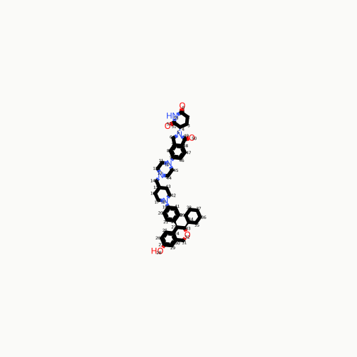 O=C1CC[C@H](N2Cc3cc(N4CCN(CC5CCN(c6ccc([C@@H]7c8ccc(O)cc8CO[C@@H]7C7CCCCC7)cc6)CC5)CC4)ccc3C2=O)C(=O)N1